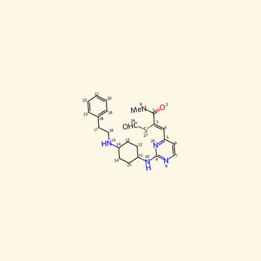 CNC(=O)/C(=C/c1ccnc(NC2CCC(NCCc3ccccc3)CC2)n1)SC=O